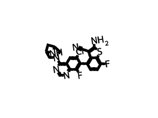 N#Cc1c(N)sc2c(F)ccc(-c3c(Cl)cc4c(N5CC6CC(C5)N6)ncnc4c3F)c12